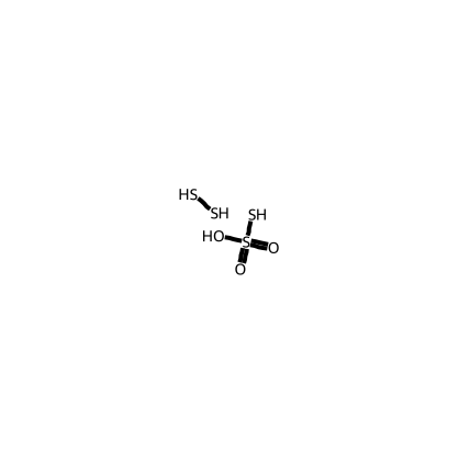 O=S(=O)(O)S.SS